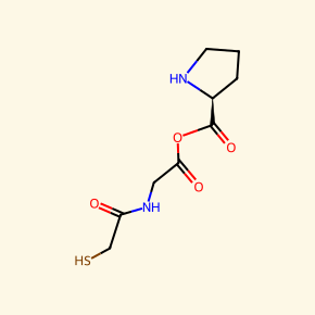 O=C(CS)NCC(=O)OC(=O)[C@@H]1CCCN1